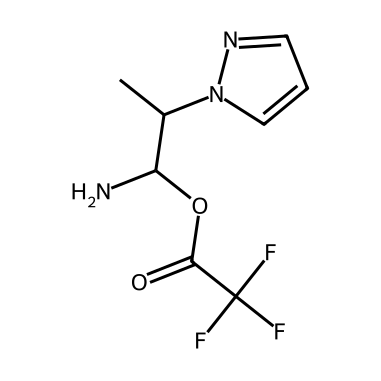 CC(C(N)OC(=O)C(F)(F)F)n1cccn1